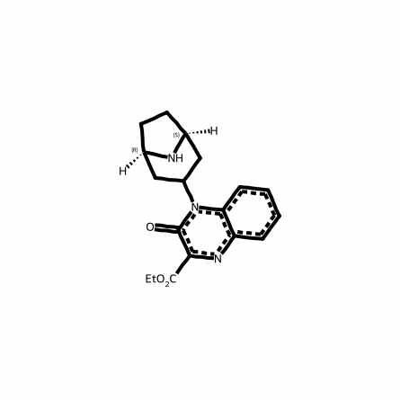 CCOC(=O)c1nc2ccccc2n(C2C[C@H]3CC[C@@H](C2)N3)c1=O